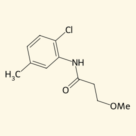 COCCC(=O)Nc1cc(C)ccc1Cl